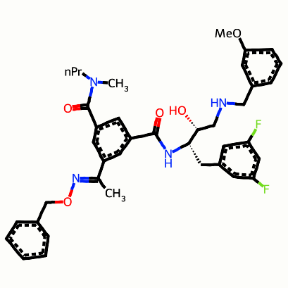 CCCN(C)C(=O)c1cc(C(=O)N[C@@H](Cc2cc(F)cc(F)c2)[C@H](O)CNCc2cccc(OC)c2)cc(/C(C)=N/OCc2ccccc2)c1